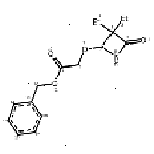 CCC1(CC)C(=O)NC1OCC(=O)OCc1ccccc1